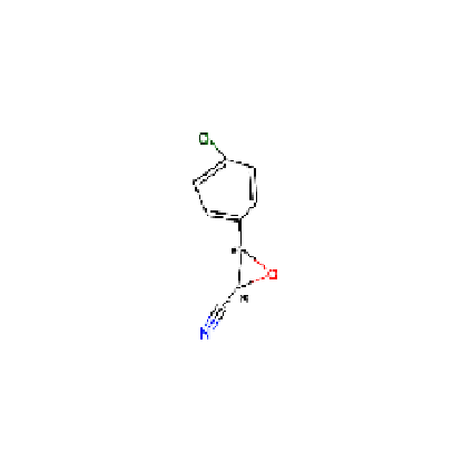 N#C[C@H]1O[C@@H]1c1ccc(Cl)cc1